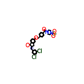 CS(=O)(=O)N1CCN(C(=O)c2ccc(COc3ccc4c(c3)C/C(=C\c3cc(Cl)cc(Cl)c3)C4=O)cc2)CC1